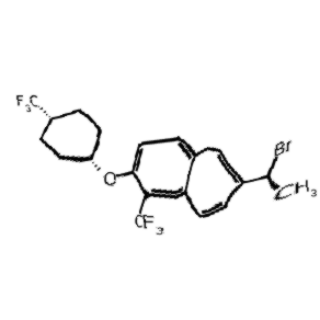 CC(Br)c1ccc2c(C(F)(F)F)c(O[C@H]3CC[C@@H](C(F)(F)F)CC3)ccc2c1